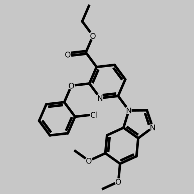 CCOC(=O)c1ccc(-n2cnc3cc(OC)c(OC)cc32)nc1Oc1ccccc1Cl